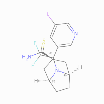 NC(=S)[C@@]1(c2cncc(I)c2)C[C@H]2CC[C@@H](C1)N2CC(F)F